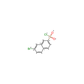 O=S(=O)(Cl)c1ccc2ccc(Br)cc2c1